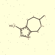 CC1CCc2c(C(=O)O)n[nH]c2CO1